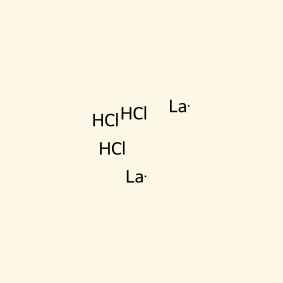 Cl.Cl.Cl.[La].[La]